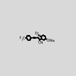 CCn1c(C#Cc2ccc(C(F)(F)F)cc2)c(C#N)c2cc(OC)ccc21